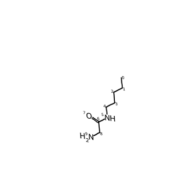 CCCCCNC(=O)CN